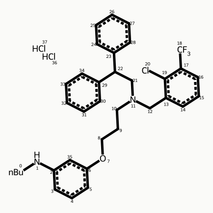 CCCCNc1cccc(OCCCN(Cc2cccc(C(F)(F)F)c2Cl)CC(c2ccccc2)c2ccccc2)c1.Cl.Cl